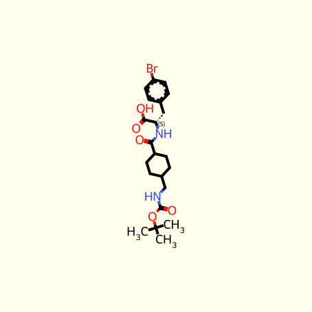 CC(C)(C)OC(=O)NCC1CCC(C(=O)N[C@@H](Cc2ccc(Br)cc2)C(=O)O)CC1